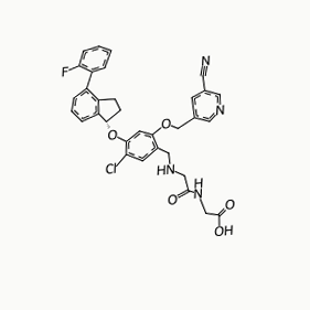 N#Cc1cncc(COc2cc(O[C@H]3CCc4c(-c5ccccc5F)cccc43)c(Cl)cc2CNCC(=O)NCC(=O)O)c1